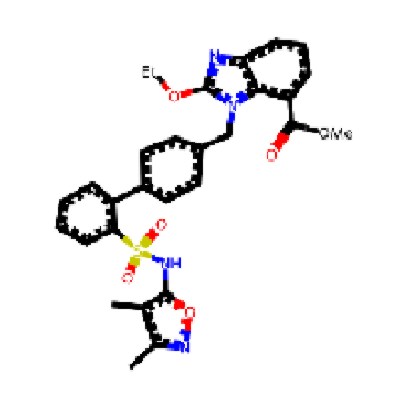 CCOc1nc2cccc(C(=O)OC)c2n1Cc1ccc(-c2ccccc2S(=O)(=O)Nc2onc(C)c2C)cc1